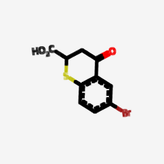 O=C1CC(C(=O)O)Sc2ccc(Br)cc21